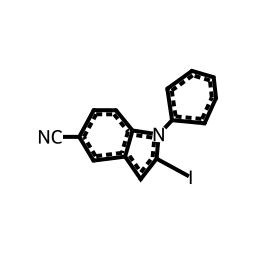 N#Cc1ccc2c(c1)cc(I)n2-c1ccccc1